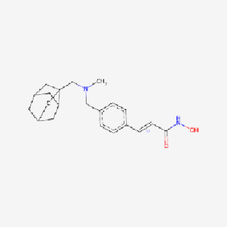 CN(Cc1ccc(/C=C/C(=O)NO)cc1)CC12CC3CC(CC1C3)C2